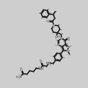 CC(CC(=O)N1CCC(O)(Cn2cnc3c(-c4ccc(CNCC(=O)NCCCCC(N)=O)cc4)n(C)nc3c2=O)CC1)c1ccccc1